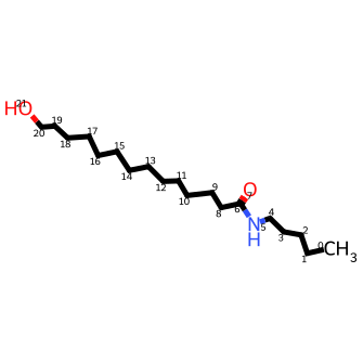 CCCCCNC(=O)CCCCCCCCCCCCCO